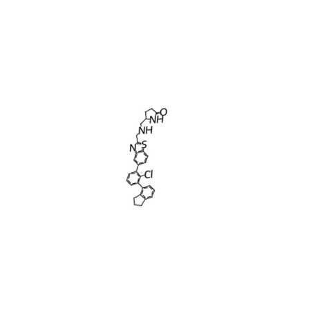 O=C1CCC(CNCc2nc3cc(-c4cccc(-c5cccc6c5CCC6)c4Cl)ccc3s2)N1